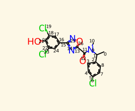 CC(c1ccc(Cl)cc1)N(C)C(=O)c1nc(-c2cc(Cl)c(O)c(Cl)c2)no1